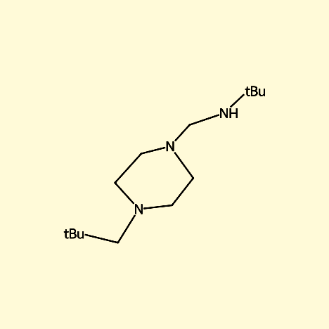 CC(C)(C)CN1CCN(CNC(C)(C)C)CC1